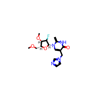 C=C1NC(=O)C(Cn2ccnc2)=CN1[C@@H]1O[C@H](COC)[C@@H](OC)C1F